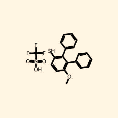 COc1ccc(S)c(-c2ccccc2)c1-c1ccccc1.O=S(=O)(O)C(F)(F)F